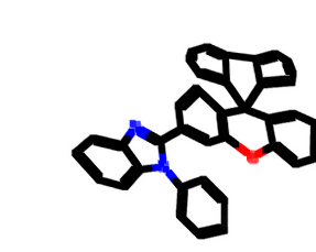 c1ccc(-n2c(-c3ccc4c(c3)Oc3ccccc3C43c4ccccc4-c4ccccc43)nc3ccccc32)cc1